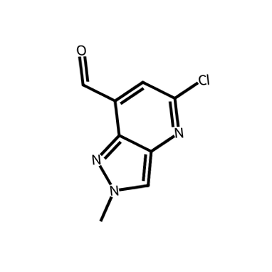 Cn1cc2nc(Cl)cc(C=O)c2n1